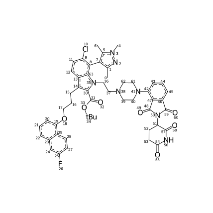 Cc1nn(C)c(C)c1-c1c(Cl)ccc2c(CCCOc3cccc4cc(F)ccc34)c(C(=O)OC(C)(C)C)n(CCN3CCN(c4cccc5c4C(=O)N(C4CCC(=O)NC4=O)C5=O)CC3)c12